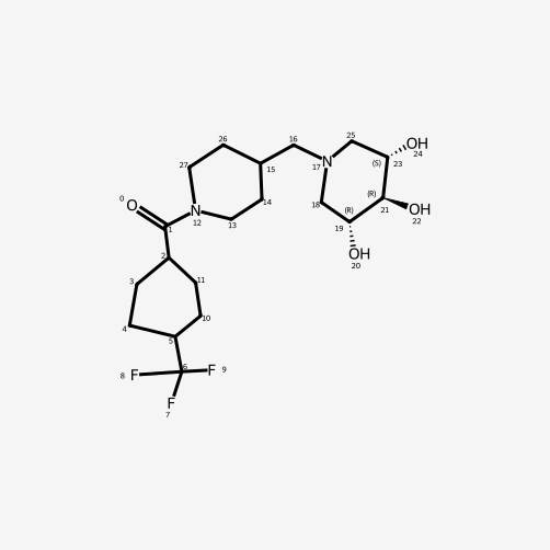 O=C(C1CCC(C(F)(F)F)CC1)N1CCC(CN2C[C@@H](O)[C@H](O)[C@@H](O)C2)CC1